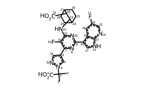 CC(C)(C(=O)O)n1cc(-c2nc(-c3c[nH]c4ncc(F)cc34)nc(NC3C4CCC(CC4)C3C(=O)O)c2F)cn1